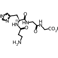 NCCC(=O)N[C@@H](Cc1c[nH]cn1)C(=O)NCC(=O)NCC(=O)O